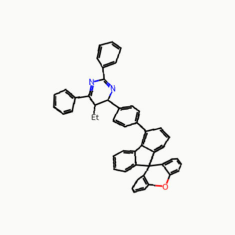 CCC1C(c2ccccc2)=NC(c2ccccc2)=NC1c1ccc(-c2cccc3c2-c2ccccc2C32C3=C(C=CCC3)Oc3ccccc32)cc1